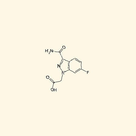 NC(=O)c1nn(CC(=O)O)c2cc(F)ccc12